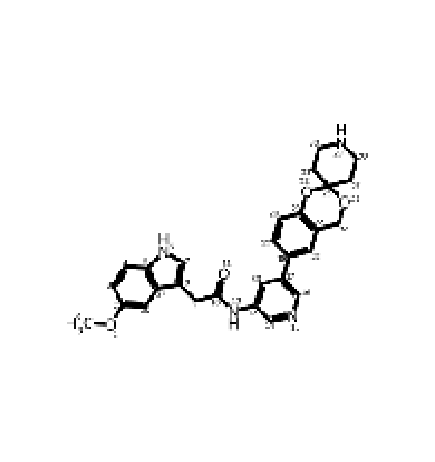 COc1ccc2[nH]cc(CC(=O)Nc3cncc(-c4ccc5c(c4)COC4(CCNCC4)O5)c3)c2c1